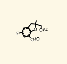 CC(=O)OCC1(C)Cc2cc(F)cc(C=O)c2O1